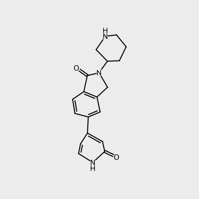 O=C1c2ccc(-c3cc[nH]c(=O)c3)cc2CN1C1CCCNC1